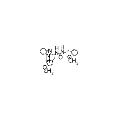 COC[C@@H](Cc1ccccc1)NC(=O)N[C@H](Cc1ccc(OC)cc1)c1nc2ccccc2[nH]1